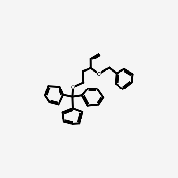 C=CC(CCOC(c1ccccc1)(c1ccccc1)c1ccccc1)OCc1ccccc1